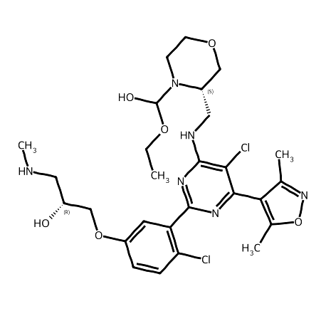 CCOC(O)N1CCOC[C@@H]1CNc1nc(-c2cc(OC[C@H](O)CNC)ccc2Cl)nc(-c2c(C)noc2C)c1Cl